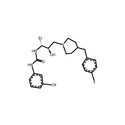 CC[C@@H](NC(=O)Nc1cccc(C#N)c1)[C@H](O)CN1CCC(Cc2ccc(F)cc2)CC1